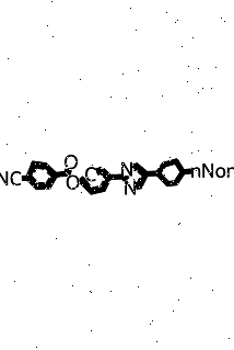 CCCCCCCCCC1CCC(c2cnc(-c3ccc(OC(=O)c4ccc(C#N)cc4)cc3)nc2)CC1